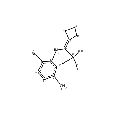 Cc1ccc(Br)c(NC(=C2CCC2)C(F)(F)F)c1